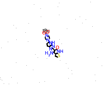 CC(C)(C)OC(=O)N1CCN(c2ccc3nc(-c4c(N)c5ccsc5[nH]c4=O)[nH]c3n2)CC1